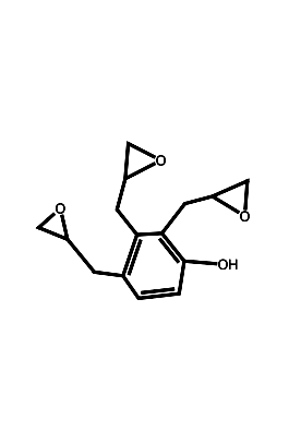 Oc1ccc(CC2CO2)c(CC2CO2)c1CC1CO1